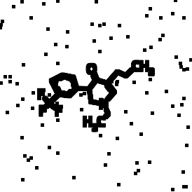 CCCC1=CN(CC)CC(c2cccc(C(F)(F)F)c2)C1=O